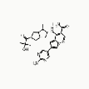 C[C@@H]1C2CN(C(=O)C(C)(C)O)CC2C[C@H]1Nc1c(C(N)=O)cnn2cc(-c3cnc(N)nc3)cc12